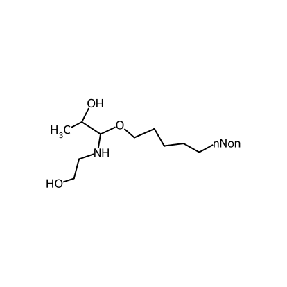 CCCCCCCCCCCCCCOC(NCCO)C(C)O